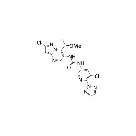 CO[C@H](C)c1c(NC(=O)Nc2cnc(-n3nccn3)c(Cl)c2)cnc2cc(Cl)nn12